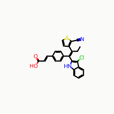 CC/C(=C(/c1ccc(/C=C/C(=O)O)cc1)c1[nH]c2ccccc2c1Cl)c1ccsc1C#N